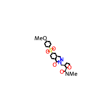 CNC(=O)c1occc1Cn1ncc2cc(S(=O)(=O)c3ccc(OC)cc3)ccc2c1=O